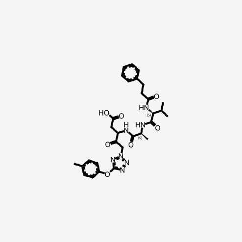 Cc1ccc(Oc2nnn(CC(=O)C(CC(=O)O)NC(=O)[C@H](C)NC(=O)[C@@H](NC(=O)CCc3ccccc3)C(C)C)n2)cc1